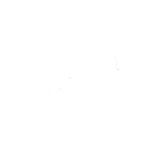 CNc1ccc(-c2ccc(-c3cnn(CF)c3)cc2O)nn1